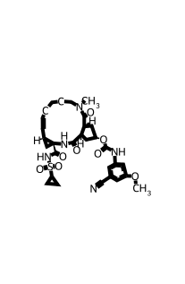 COc1cc(C#N)cc(NC(=O)O[C@@H]2C[C@H]3C(=O)N[C@]4(C(=O)NS(=O)(=O)C5CC5)C[C@H]4/C=C\CCCCN(C)C(=O)[C@@H]3C2)c1